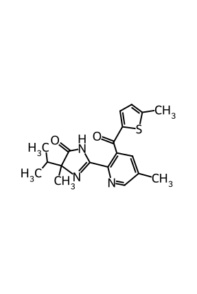 Cc1cnc(C2=NC(C)(C(C)C)C(=O)N2)c(C(=O)c2ccc(C)s2)c1